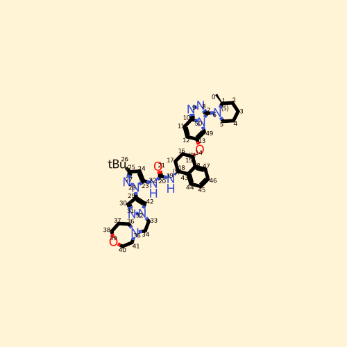 C[C@H]1CCCCN1c1nnc2ccc(O[C@@H]3CC[C@H](NC(=O)Nc4cc(C(C)(C)C)nn4-c4cnn(CCN5CCCOCC5)c4)c4ccccc43)cn12